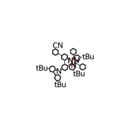 CC(C)(C)c1ccc2c(c1)c1cc(C(C)(C)C)ccc1n2-c1ccc(-c2nc(-c3ccccc3)nc(-c3ccccc3)n2)c(-c2cc(-c3cccc(C#N)c3)ccc2-n2c3ccc(C(C)(C)C)cc3c3cc(C(C)(C)C)ccc32)c1